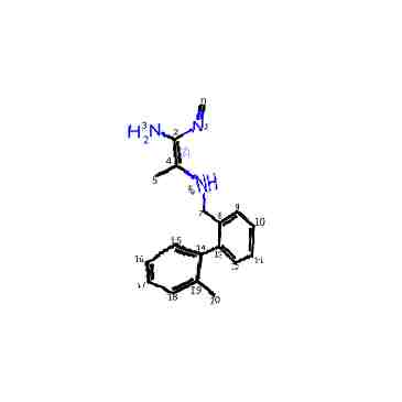 C=N/C(N)=C(/C)NCc1ccccc1-c1ccccc1C